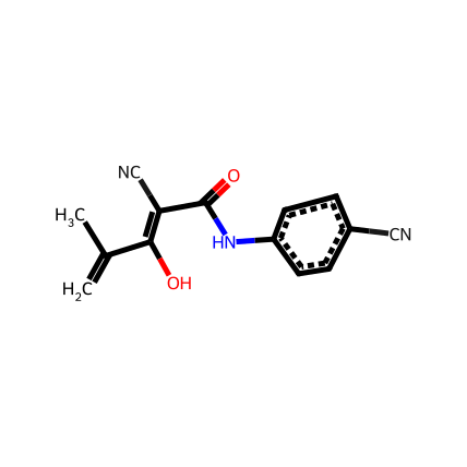 C=C(C)C(O)=C(C#N)C(=O)Nc1ccc(C#N)cc1